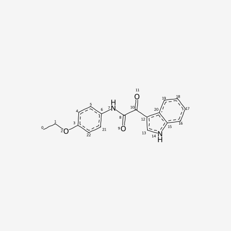 CCOc1ccc(NC(=O)C(=O)c2c[nH]c3ccccc23)cc1